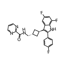 O=C(NC[C@H]1C[C@H](c2c(-c3ccc(F)cc3)[nH]c3c(F)cc(F)cc32)C1)c1ncccn1